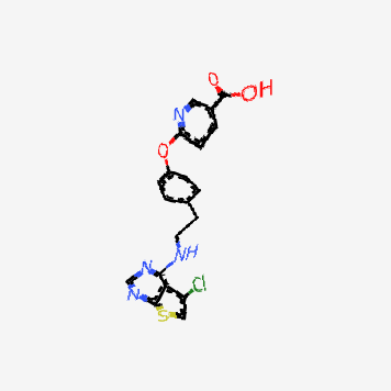 O=C(O)c1ccc(Oc2ccc(CCNc3ncnc4scc(Cl)c34)cc2)nc1